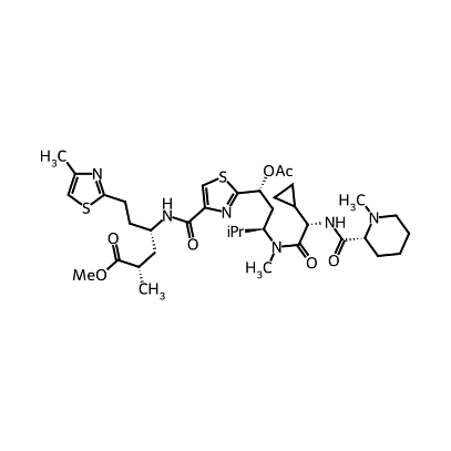 COC(=O)[C@@H](C)C[C@H](CCc1nc(C)cs1)NC(=O)c1csc([C@@H](C[C@H](C(C)C)N(C)C(=O)[C@@H](NC(=O)[C@H]2CCCCN2C)C2CC2)OC(C)=O)n1